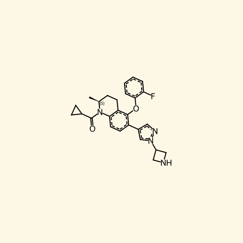 C[C@H]1CCc2c(ccc(-c3cnn(C4CNC4)c3)c2Oc2ccccc2F)N1C(=O)C1CC1